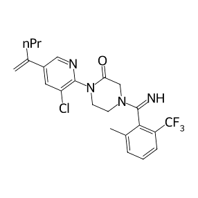 C=C(CCC)c1cnc(N2CCN(C(=N)c3c(C)cccc3C(F)(F)F)CC2=O)c(Cl)c1